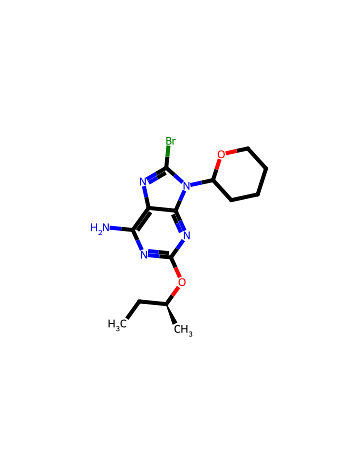 CC[C@H](C)Oc1nc(N)c2nc(Br)n(C3CCCCO3)c2n1